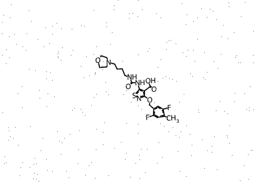 Cc1cc(F)c(COc2nsc(NC(=O)NCCCCN3CCOCC3)c2C(=O)O)cc1F